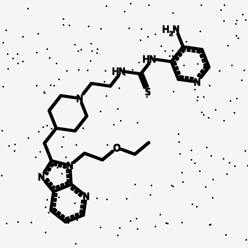 CCOCCn1c(CC2CCN(CCNC(=S)Nc3cnccc3N)CC2)nc2cccnc21